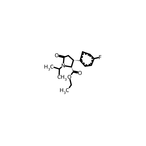 CCOC(=O)[C@H]1[C@@H](c2ccc(F)cc2)CC(=O)N1C(C)C